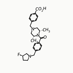 C[C@@H]1CN(Cc2ccc(C(=O)O)cc2)C[C@H](C)N1C(=O)c1ccc(CN2CC[C@@H](F)C2)cc1